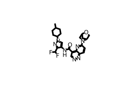 CC1CCC(n2cc(NC(=O)c3cnnc4ccc(N5CC6CC5CO6)nc34)c(C(F)F)n2)CC1